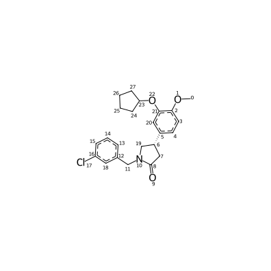 COc1ccc([C@@H]2CC(=O)N(Cc3cccc(Cl)c3)C2)cc1OC1CCCC1